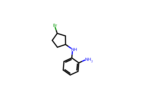 Nc1ccccc1NC1CCC(Br)C1